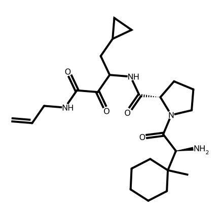 C=CCNC(=O)C(=O)C(CC1CC1)NC(=O)[C@@H]1CCCN1C(=O)[C@@H](N)C1(C)CCCCC1